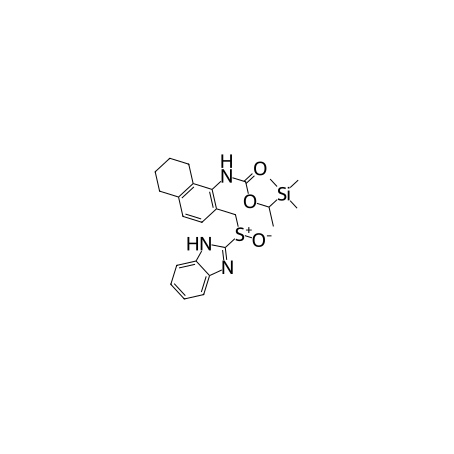 CC(OC(=O)Nc1c(C[S+]([O-])c2nc3ccccc3[nH]2)ccc2c1CCCC2)[Si](C)(C)C